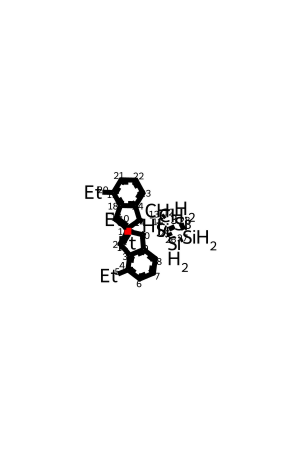 CCC1=Cc2c(CC)cccc2[CH]1[Hf]([CH3])([CH3])([CH]1C(CC)=Cc2c(CC)cccc21)=[Si]1[SiH2][SiH2][SiH2]1